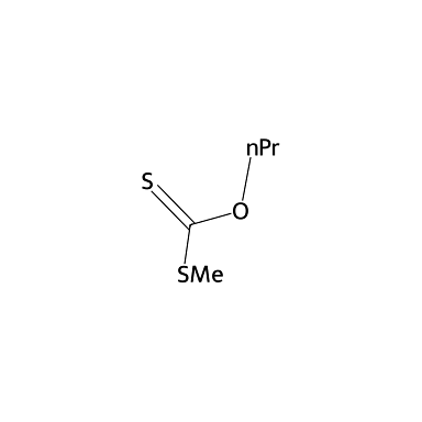 CCCOC(=S)SC